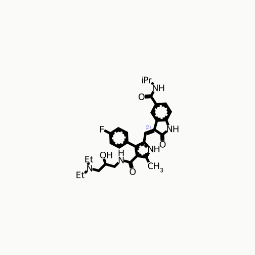 CCN(CC)CC(O)CNC(=O)c1c(C)[nH]c(/C=C2\C(=O)Nc3ccc(C(=O)NC(C)C)cc32)c1-c1ccc(F)cc1